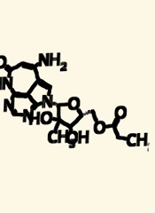 CCC(=O)OC[C@H]1O[C@@H](n2cc3c4c(ncnc42)NC(=O)C=C3N)C(C)(O)[C@@H]1O